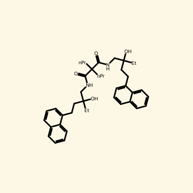 CCCC(CCC)(C(=O)NCC(O)(CC)CCc1cccc2ccccc12)C(=O)NCC(O)(CC)CCc1cccc2ccccc12